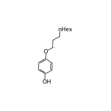 CCCCCCCC[CH]Oc1ccc(O)cc1